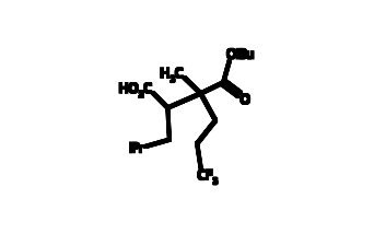 CC(C)COC(=O)C(C)(CCC(F)(F)F)C(CC(C)C)C(=O)O